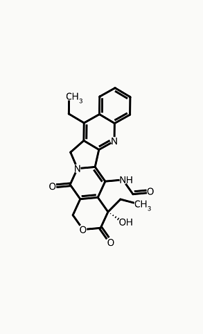 CCc1c2c(nc3ccccc13)-c1c(NC=O)c3c(c(=O)n1C2)COC(=O)[C@]3(O)CC